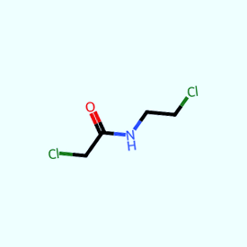 O=C(CCl)NCCCl